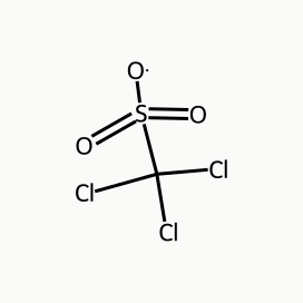 [O]S(=O)(=O)C(Cl)(Cl)Cl